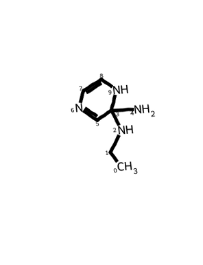 CCNC1(N)C=NC=CN1